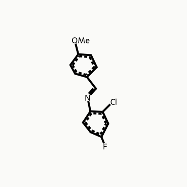 COc1ccc(C=Nc2ccc(F)cc2Cl)cc1